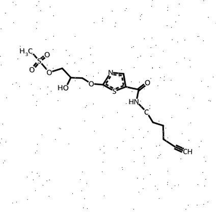 C#CCCCCNC(=O)c1cnc(OCC(O)COS(C)(=O)=O)s1